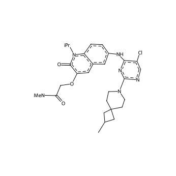 CNC(=O)COc1cc2cc(Nc3nc(N4CCC5(CC4)CC(C)C5)ncc3Cl)ccc2n(C(C)C)c1=O